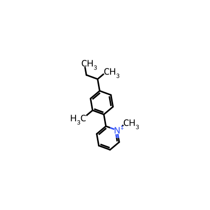 CCC(C)c1ccc(-c2cccc[n+]2C)c(C)c1